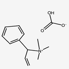 C=CC(c1ccccc1)[N+](C)(C)C.O=C([O-])O